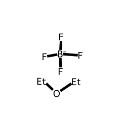 CCOCC.F[B-](F)(F)F